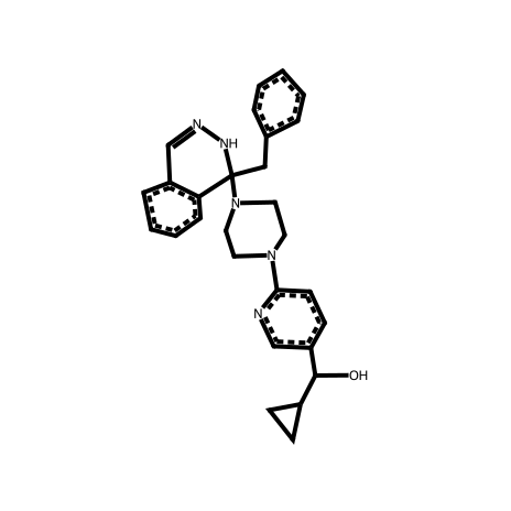 OC(c1ccc(N2CCN(C3(Cc4ccccc4)NN=Cc4ccccc43)CC2)nc1)C1CC1